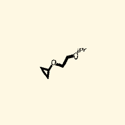 CC(C)OCCOC1CC1